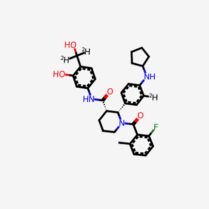 [2H]c1cc([C@H]2[C@@H](C(=O)Nc3ccc(C([2H])([2H])O)c(O)c3)CCCN2C(=O)c2c(C)cccc2F)ccc1NC1CCCC1